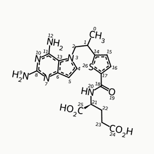 CC(Cn1ccc2nc(N)nc(N)c21)c1ccc(C(=O)N[C@@H](CCC(=O)O)C(=O)O)s1